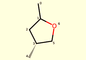 CC1C[C@@H](C)CO1